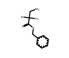 CCC(C)(CN)C(=O)OCc1ccccc1